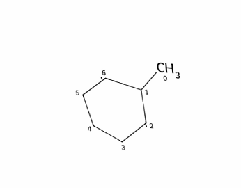 CC1[CH]CCC[CH]1